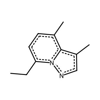 CCc1ccc(C)c2c(C)cnn12